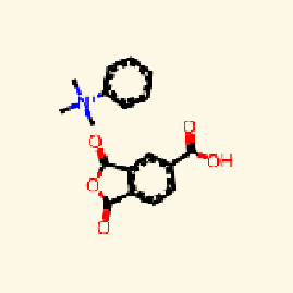 C[N+](C)(C)c1ccccc1.O=C(O)c1ccc2c(c1)C(=O)OC2=O